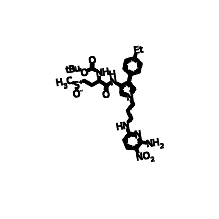 CCc1ccc(-c2cn(CCCNc3ccc([N+](=O)[O-])c(N)n3)cc2NC(=O)C(CC[S+](C)[O-])NC(=O)OC(C)(C)C)cc1